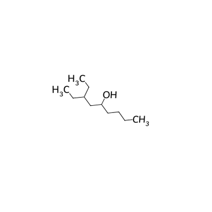 CCCCC(O)CC(CC)CC